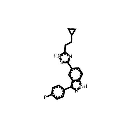 Fc1ccc(-c2n[nH]c3ccc(-c4n[nH]c(CCC5CC5)n4)cc23)cc1